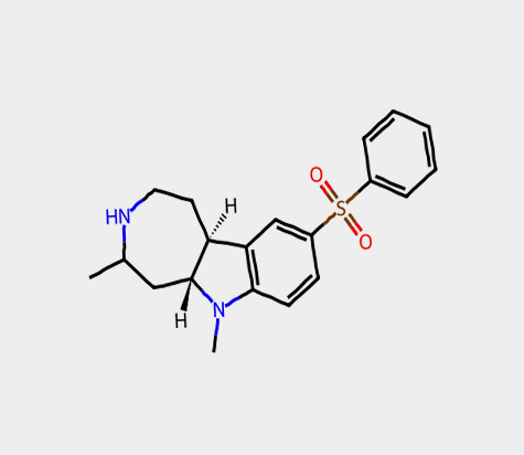 CC1C[C@@H]2[C@@H](CCN1)c1cc(S(=O)(=O)c3ccccc3)ccc1N2C